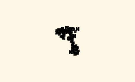 O=C(CCCCc1ccc2c(n1)NCCC2)NCC[C@@H](NC(=O)c1nc2ccccc2n1CC1CC1)C(=O)O